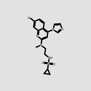 CN(CCNS(=O)(=O)C1CC1)c1cc(-n2ccnc2)c2ccc(Cl)cc2n1